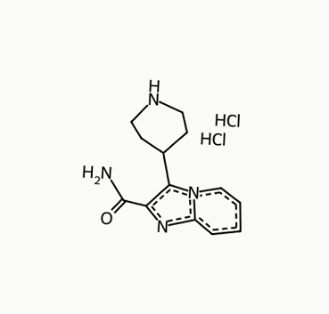 Cl.Cl.NC(=O)c1nc2ccccn2c1C1CCNCC1